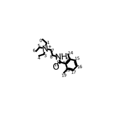 CC[N+](CC)(CC)CCNC(=O)c1c(C)cccc1C